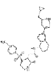 Cc1ccc(S(=O)(=O)N2CCNC(=O)[C@H]2CC(=O)N[C@H]2CCCc3cc(C4=CCN[C@H](CC5CC5)C4)ccc32)cc1